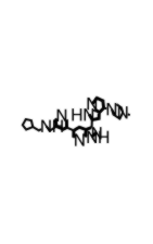 CN1CCN(c2ccnc3[nH]c(-c4n[nH]c5ncc(-c6cncc(CNCC7CCCC7)c6)cc45)cc23)CC1